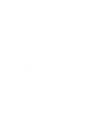 CCCCCCCCCCCCC(O)C1(C)CO1